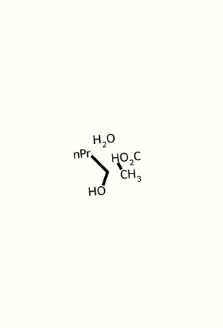 CC(=O)O.CCCCO.O